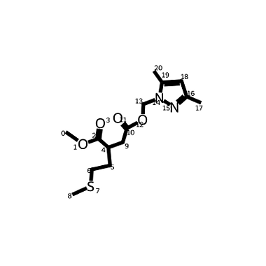 COC(=O)C(CCSC)CC(=O)OCn1nc(C)cc1C